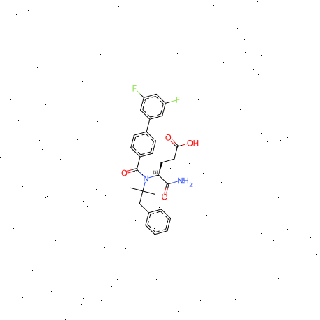 CC(C)(Cc1ccccc1)N(C(=O)c1ccc(-c2cc(F)cc(F)c2)cc1)[C@@H](CCC(=O)O)C(N)=O